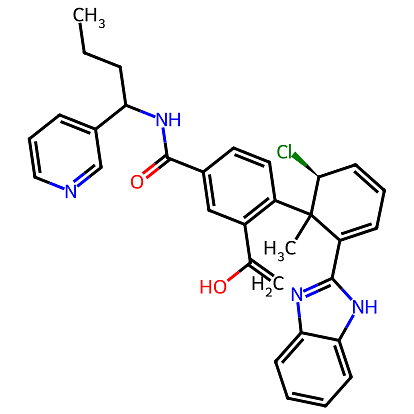 C=C(O)c1cc(C(=O)NC(CCC)c2cccnc2)ccc1C1(C)C(c2nc3ccccc3[nH]2)=CC=C[C@@H]1Cl